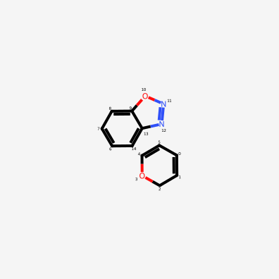 C1=CCOC=C1.c1ccc2onnc2c1